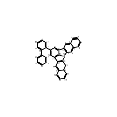 c1ccc2cc3c(cc2c#1)c1cc(-c2ccccc2-c2ccccc2)cc2c4c(n3c21)CC1C=CC=CC1=C4